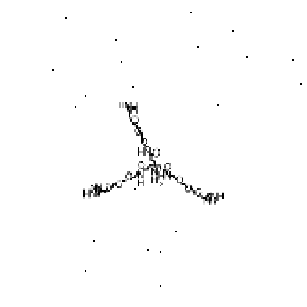 NC(CCC(=O)NCCOCCOCCOCc1c[nH]nn1)(CCC(=O)NCCOCCOCCOCc1c[nH]nn1)CCC(=O)NCCOCCOCCOCc1c[nH]nn1